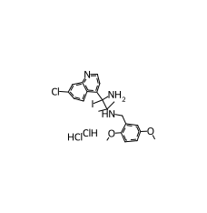 COc1ccc(OC)c(CNC(C)(C)C(N)(I)c2ccnc3cc(Cl)ccc23)c1.Cl.Cl